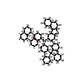 c1ccc(-c2cccc3cccc(-c4ccc(N(c5ccc6c(c5)C(c5ccccc5)(c5ccccc5)c5ccccc5-6)c5ccc6sc7ccc8ccccc8c7c6c5)cc4)c23)cc1